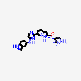 N/C=C\C(=C/N)NC(=O)C1=CC2C=CC(c3nccc(Nc4ccc5[nH]ncc5c4)n3)=CN2N1